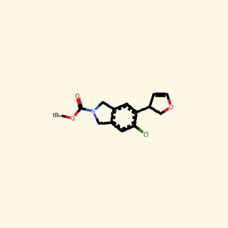 CC(C)(C)OC(=O)N1Cc2cc(Cl)c(C3C=COC3)cc2C1